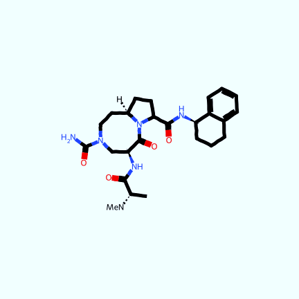 CN[C@@H](C)C(=O)N[C@H]1CN(C(N)=O)CC[C@H]2CCC(C(=O)N[C@@H]3CCCc4ccccc43)N2C1=O